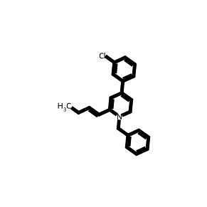 CCC=CC1=CC(c2cccc(Cl)c2)=CCN1Cc1ccccc1